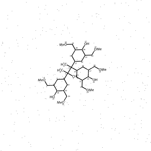 COCC1CC(C(C)(C)C(C)(C2CC(COC)C(O)C(COC)C2)C2CC(COC)C(O)C(COC)C2)CC(COC)C1O